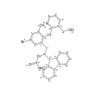 Cc1cc(Br)cc(CC(OC(N)=O)C2c3ccccc3-c3ccccc32)c1Sc1ncccc1CO